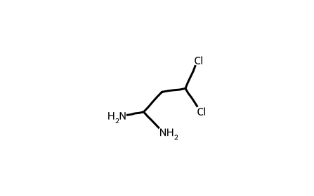 NC(N)CC(Cl)Cl